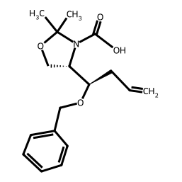 C=CC[C@@H](OCc1ccccc1)[C@@H]1COC(C)(C)N1C(=O)O